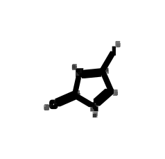 O=C1N=CC(I)=N1